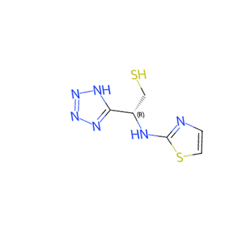 SC[C@H](Nc1nccs1)c1nnn[nH]1